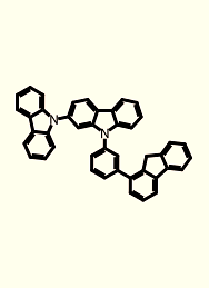 c1cc(-c2cccc3c2Cc2ccccc2-3)cc(-n2c3ccccc3c3ccc(-n4c5ccccc5c5ccccc54)cc32)c1